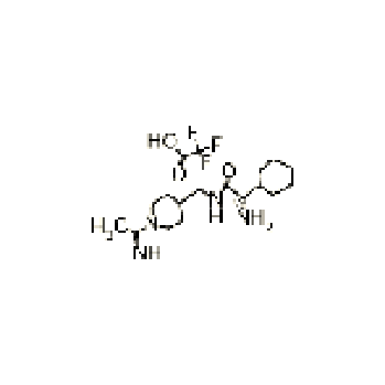 CC(=N)N1CCC(CNC(=O)[C@@H](N)C2CCCCC2)CC1.O=C(O)C(F)(F)F